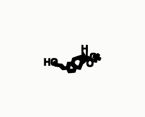 CC(C)(C)OC(=O)NC1C2CCC1Cc1cc(C=CCO)ccc1C2